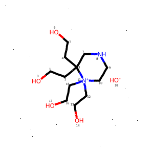 OCCC1(CCO)CNCC[N+]1(CCO)CCO.[OH-]